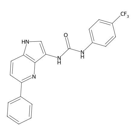 O=C(Nc1ccc(C(F)(F)F)cc1)Nc1c[nH]c2ccc(-c3ccccc3)nc12